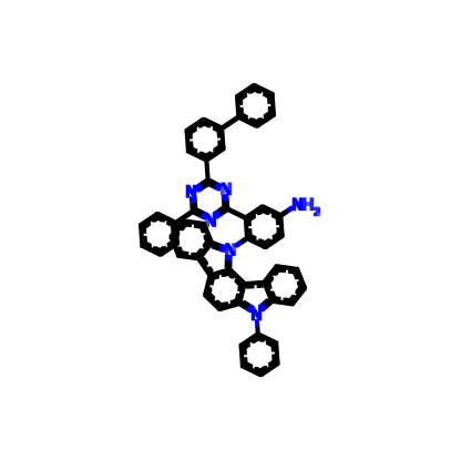 Nc1ccc(-n2c3ccccc3c3ccc4c(c5ccccc5n4-c4ccccc4)c32)c(-c2nc(-c3ccccc3)nc(-c3cccc(-c4ccccc4)c3)n2)c1